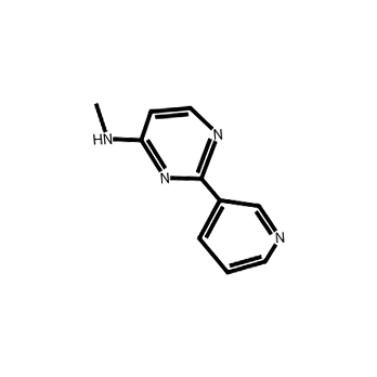 CNc1ccnc(-c2cccnc2)n1